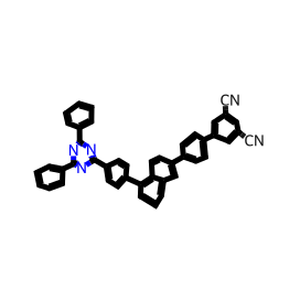 N#Cc1cc(C#N)cc(-c2ccc(-c3ccc4c(-c5ccc(-c6nc(-c7ccccc7)nc(-c7ccccc7)n6)cc5)cccc4c3)cc2)c1